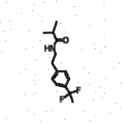 CC(C)C(=O)NCCc1ccc(C(C)(F)F)cc1